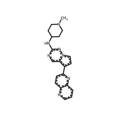 CN1CCC(Nc2ncc3c(-c4ccc5ncccc5n4)ccn3n2)CC1